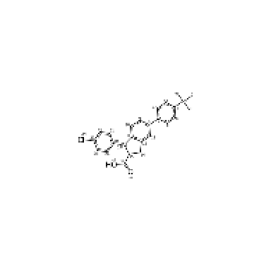 CC(C)(C)c1ccc(-c2ccc3c(c2)CC(C(=O)O)N3c2ccc(Cl)cc2)cc1